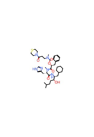 CC(C)CC[C@H](O)[C@H](CC1CCCCC1)NC(=O)[C@H](Cc1c[nH]cn1)N(C)C(=O)[C@H](Cc1ccccc1)OC(=O)N(C)CCC(=O)N1CCSCC1